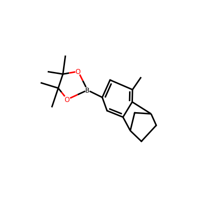 Cc1cc(B2OC(C)(C)C(C)(C)O2)cc2c1C1CCC2C1